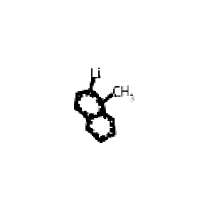 [Li][c]1ccc2ccccc2c1C